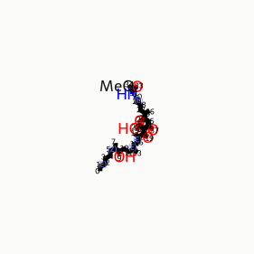 C/C=C/CC/C=C(/C)C(O)CC/C(C)=C/C=C(\C)C(=O)c1c(O)oc(C(C)CC/C=C/NC(=O)OC)cc1=O